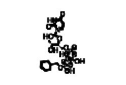 C[C@@H](O)[C@@H](COP(=O)(O)OP(=O)(O)OP(=O)(O)OCC1CCCCC1)OC(O)n1ccc(=O)[nH]c1=O